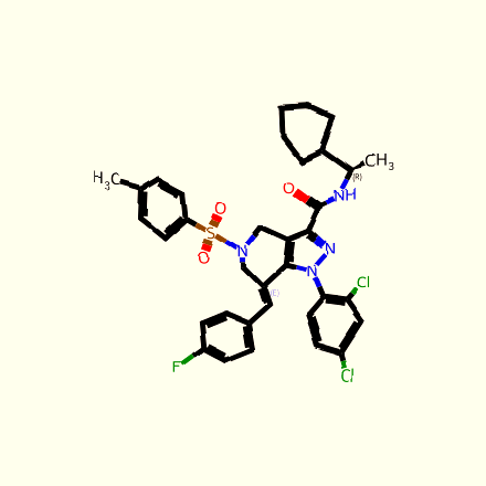 Cc1ccc(S(=O)(=O)N2C/C(=C\c3ccc(F)cc3)c3c(c(C(=O)N[C@H](C)C4CCCCC4)nn3-c3ccc(Cl)cc3Cl)C2)cc1